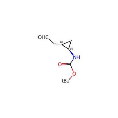 CC(C)(C)OC(=O)N[C@@H]1C[C@H]1CC=O